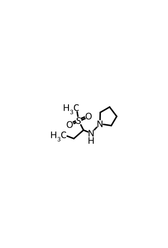 CCC(NN1CCCC1)S(C)(=O)=O